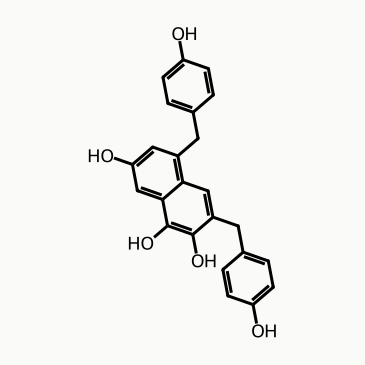 Oc1ccc(Cc2cc3c(Cc4ccc(O)cc4)cc(O)cc3c(O)c2O)cc1